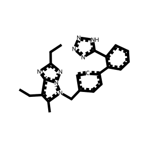 CCc1nc2c(CC)c(C)n(Cc3ccc(-c4ccccc4-c4nnn[nH]4)cc3)n2n1